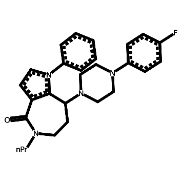 CCCN1CCC(N2CCN(c3ccc(F)cc3)CC2)c2c(ccn2-c2ccccc2)C1=O